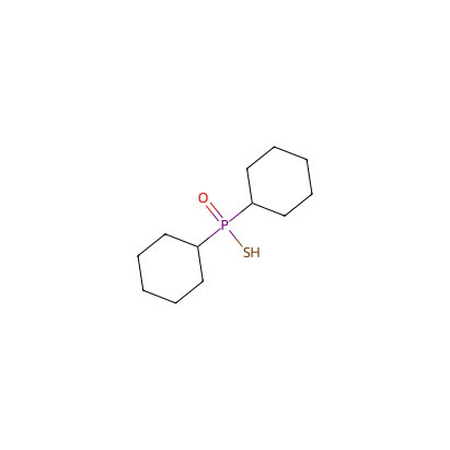 O=P(S)(C1CCCCC1)C1CCCCC1